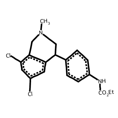 CCOC(=O)Nc1ccc(C2CN(C)Cc3c(Cl)cc(Cl)cc32)cc1